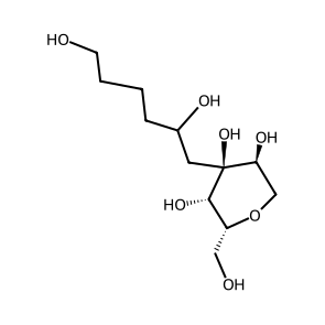 OCCCCC(O)C[C@]1(O)[C@@H](O)CO[C@H](CO)[C@@H]1O